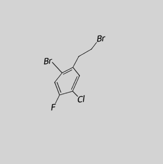 Fc1cc(Br)c(CCBr)cc1Cl